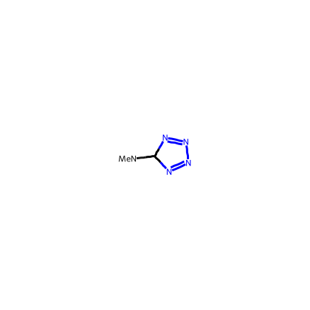 CNC1N=NN=N1